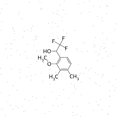 COc1c(C(O)C(F)(F)F)ccc(C)c1C